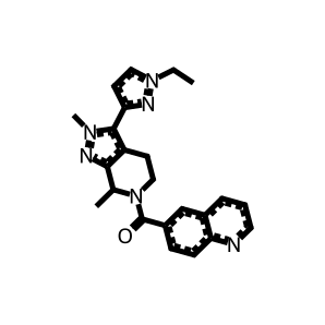 CCn1ccc(-c2c3c(nn2C)C(C)N(C(=O)c2ccc4ncccc4c2)CC3)n1